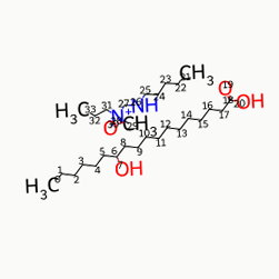 CCCCCCC(O)CCCCCCCCCCC(=O)O.CCCCCNC[N+](C)([O-])CCC